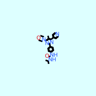 Cc1c(-c2ccncc2)nc(-c2ccc(NC(=O)NC(C)C)cc2)nc1N1CCOCC1